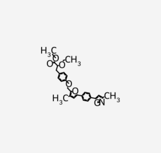 CCOC(=O)C(Cc1ccc(OCc2oc(-c3ccc(-c4cc(C)no4)cc3)cc2C)cc1)OCC